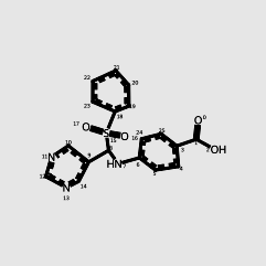 O=C(O)c1ccc(NC(c2cncnc2)S(=O)(=O)c2ccccc2)cc1